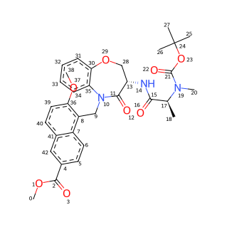 COC(=O)c1ccc2c(CN3C(=O)[C@@H](NC(=O)[C@H](C)N(C)C(=O)OC(C)(C)C)COc4ccccc43)c(OC)ccc2c1